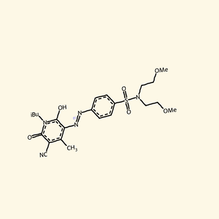 CCC(C)n1c(O)c(/N=N/c2ccc(S(=O)(=O)N(CCOC)CCOC)cc2)c(C)c(C#N)c1=O